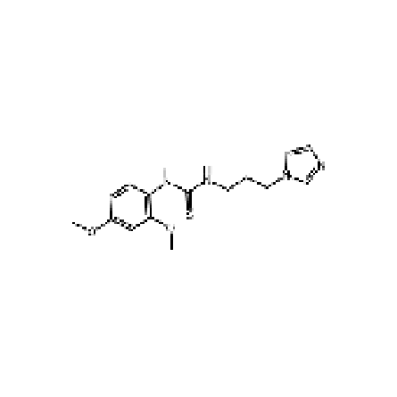 COc1ccc(NC(=S)NCCCn2ccnc2)c(OC)c1